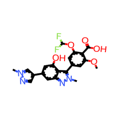 COc1cc(-c2c3c(O)cc(-c4cnn(C)c4)cc3nn2C)cc(OC(F)F)c1C(=O)O